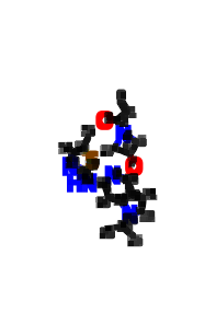 C=CC(=O)N1CC(Oc2nc(Nc3ncc(C)s3)cc3c2ccn3C(C)C)C1